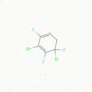 FC1=[C]CC(F)(Cl)C(F)=C1Cl